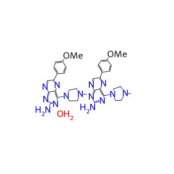 COc1ccc(-c2cnc3nc(N)nc(N4CCN(C)CC4)c3n2)cc1.COc1ccc(-c2cnc3nc(N)nc(N4CCN(C)CC4)c3n2)cc1.O